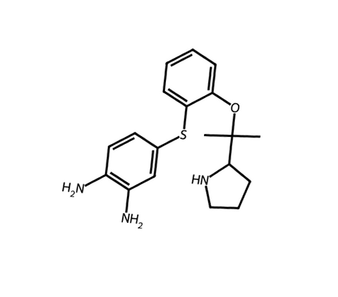 CC(C)(Oc1ccccc1Sc1ccc(N)c(N)c1)C1CCCN1